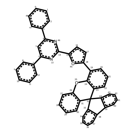 c1ccc(-c2cc(-c3ccccc3)nc(-c3ccc(-c4cccc5c4Oc4ccccc4C54c5ccccc5-c5ccccc54)o3)n2)cc1